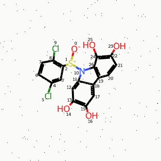 [O-][S+](c1cc(Cl)ccc1Cl)n1c2cc(O)c(O)cc2c2ccc(O)c(O)c21